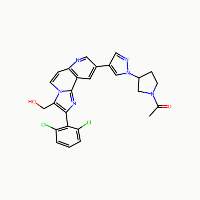 CC(=O)N1CCC(n2cc(-c3cnc4ccn5c(CO)c(-c6c(Cl)cccc6Cl)nc5c4c3)cn2)C1